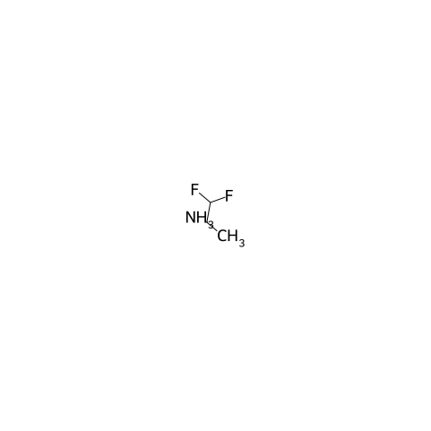 CCC(F)F.N